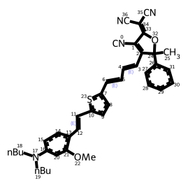 [C-]#[N+]C1=C(/C=C/C=C/c2ccc(/C=C/c3ccc(N(CCCC)CCCC)cc3OC)s2)C(C)(c2ccccc2)OC1=C(C#N)C#N